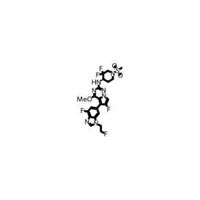 COc1nc(N[C@@H]2CCN(S(C)(=O)=O)CC2(F)F)nn2cc(F)c(-c3cc(F)c4ncn(CCF)c4c3)c12